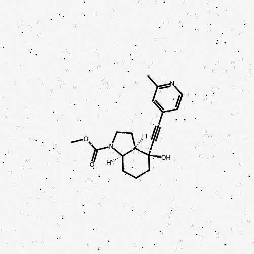 COC(=O)N1CC[C@@H]2[C@H]1CCC[C@@]2(O)C#Cc1ccnc(C)c1